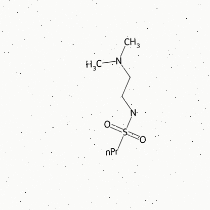 CCCS(=O)(=O)[N]CCN(C)C